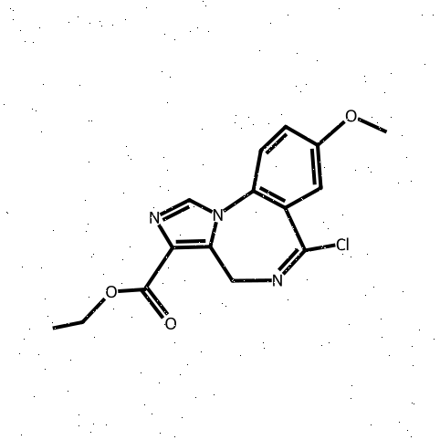 CCOC(=O)c1ncn2c1CN=C(Cl)c1cc(OC)ccc1-2